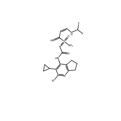 CCc1nc2c(c(NC(=O)N=S(N)(=O)C(=N)/C=C\NC(F)F)c1C1CC1)CCC2